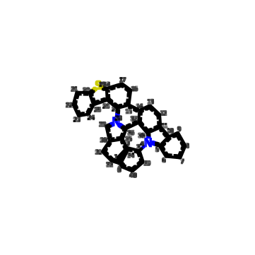 c1ccc(-n2c3ccccc3c3ccc4c5ccc6sc7ccccc7c6c5n5cc6ccccc6c5c4c32)cc1